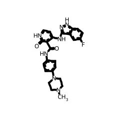 CN1CCN(c2ccc(NC(=O)c3c(Nc4n[nH]c5ccc(F)cc45)cc[nH]c3=O)cc2)CC1